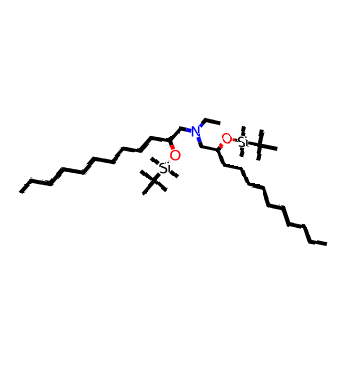 CCCCCCCCCCC(CN(CC)CC(CCCCCCCCCC)O[Si](C)(C)C(C)(C)C)O[Si](C)(C)C(C)(C)C